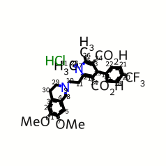 COc1cc2c(cc1OC)CN(CCC1=C(C(=O)O)C(c3ccc(C(F)(F)F)cc3)C(C(=O)O)=C(C)N1C)CC2.Cl